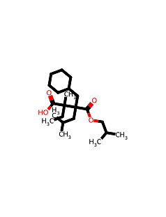 CCC(C)(C(=O)O)C(CC(C)C)(CC1CCCCC1)C(=O)OCC(C)C